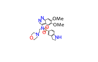 COc1cc2nncc(N(CCN3CCOCC3)S(=O)(=O)c3ccc4c(c3)CCN4)c2cc1OC